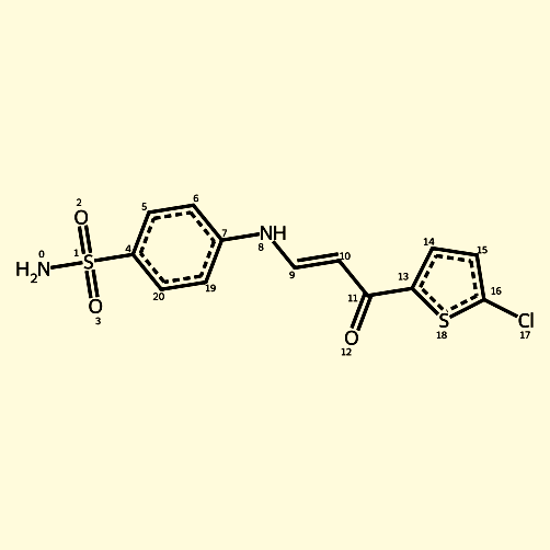 NS(=O)(=O)c1ccc(N/C=C/C(=O)c2ccc(Cl)s2)cc1